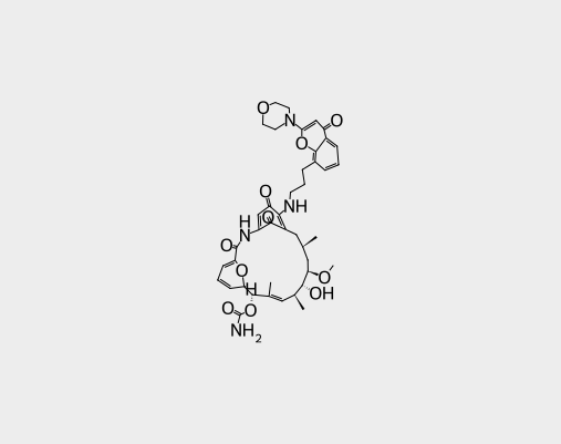 CO[C@@H]1C[C@H](C)CC2=C(NCCCc3cccc4c(=O)cc(N5CCOCC5)oc34)C(=O)C=C(NC(=O)C3=CC=C[C@H](O3)[C@@H](OC(N)=O)/C(C)=C/[C@H](C)[C@H]1O)C2=O